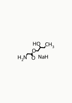 CCC(O)COC(=O)CN.[NaH]